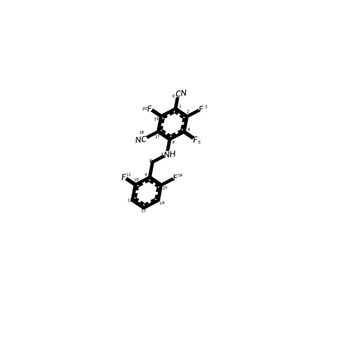 N#Cc1c(F)c(F)c(NCc2c(F)cccc2F)c(C#N)c1F